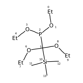 CCOP(OCC)C(OCC)(OCC)[Si](C)(C)C